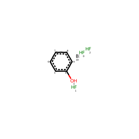 F.F.F.Oc1ccccc1.[B]